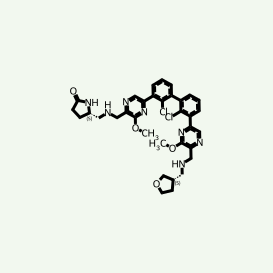 COc1nc(-c2cccc(-c3cccc(-c4cnc(CNC[C@@H]5CCC(=O)N5)c(OC)n4)c3Cl)c2Cl)cnc1CNC[C@@H]1CCOC1